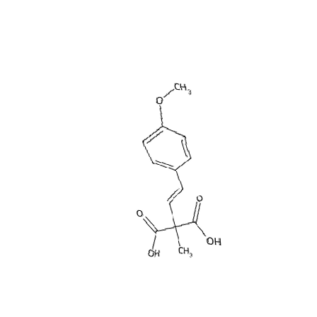 COc1ccc(C=CC(C)(C(=O)O)C(=O)O)cc1